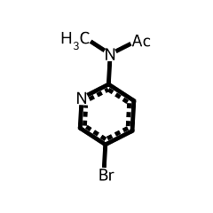 CC(=O)N(C)c1ccc(Br)cn1